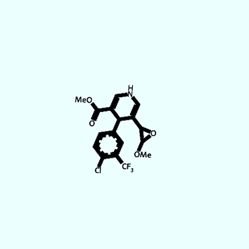 COC(=O)C1=CNC=C(C2OC2OC)C1c1ccc(Cl)c(C(F)(F)F)c1